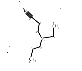 CCCN(CC)CCC#N